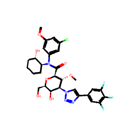 COc1cc(Cl)cc(N(C(=O)[C@@H]2O[C@H](CO)[C@H](O)[C@H](n3cc(-c4cc(F)c(F)c(F)c4)nn3)[C@H]2OC)[C@H]2CCCC[C@@H]2O)c1